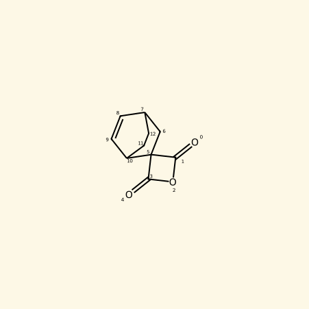 O=C1OC(=O)C12CC1C=CC2CC1